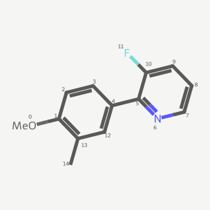 COc1ccc(-c2ncccc2F)cc1C